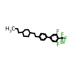 CCCC1CCC(CCc2ccc(-c3cc(F)c(C(F)(F)Br)c(F)c3)cc2)CC1